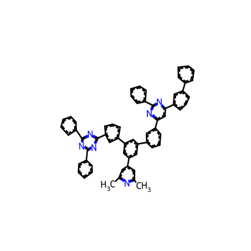 Cc1cc(-c2cc(-c3cccc(-c4cc(-c5cccc(-c6ccccc6)c5)nc(-c5ccccc5)n4)c3)cc(-c3cccc(-c4nc(-c5ccccc5)nc(-c5ccccc5)n4)c3)c2)cc(C)n1